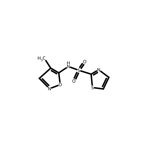 Cc1cnoc1NS(=O)(=O)c1nccs1